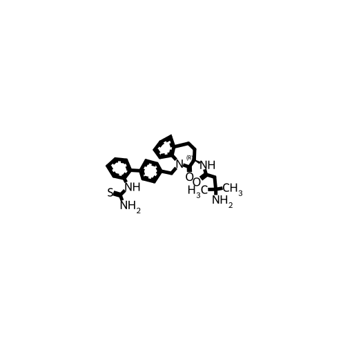 CC(C)(N)CC(=O)N[C@@H]1CCc2ccccc2N(Cc2ccc(-c3ccccc3NC(N)=S)cc2)C1=O